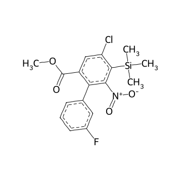 COC(=O)c1cc(Cl)c([Si](C)(C)C)c([N+](=O)[O-])c1-c1cccc(F)c1